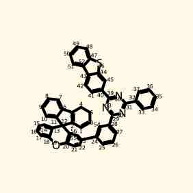 C1=CC2=C(CC1)c1ccccc1C21c2ccccc2Oc2ccc(-c3cccc(-c4nc(-c5ccccc5)nc(-c5ccc6c(c5)sc5ccccc56)n4)c3)cc21